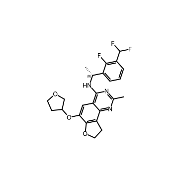 Cc1nc(N[C@H](C)c2cccc(C(F)F)c2F)c2cc(OC3CCOC3)c3c(c2n1)CCO3